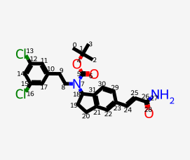 CC(C)(C)OC(=O)N(CCc1cc(Cl)cc(Cl)c1)C1CCc2cc(/C=C/C(N)=O)ccc21